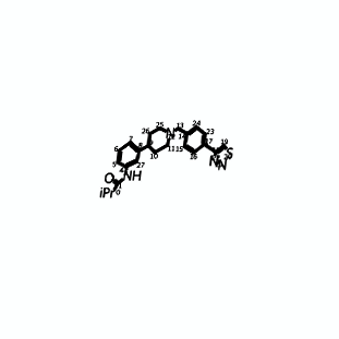 CC(C)C(=O)Nc1cccc(C2CCN(Cc3ccc(-c4csnn4)cc3)CC2)c1